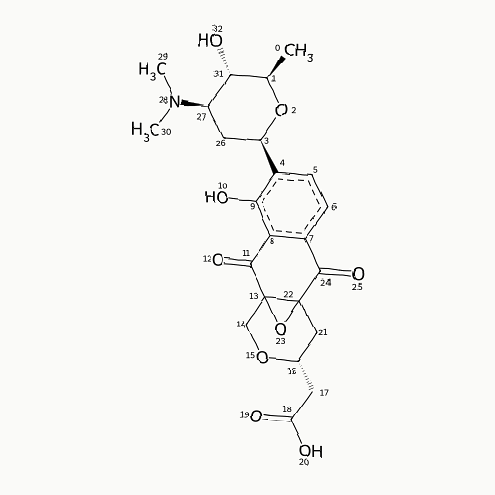 C[C@H]1O[C@@H](c2ccc3c(c2O)C(=O)C24CO[C@@H](CC(=O)O)CC2(O4)C3=O)C[C@@H](N(C)C)[C@@H]1O